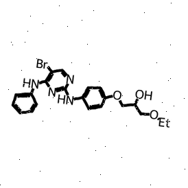 CCOCC(O)COc1ccc(Nc2ncc(Br)c(Nc3ccccc3)n2)cc1